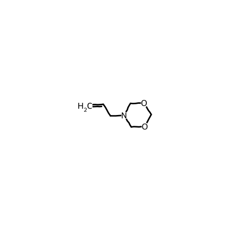 C=CCN1COCOC1